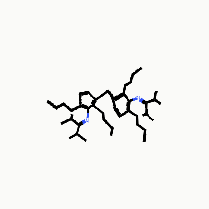 CCCCc1ccc(Cc2ccc(CCCC)c(N=C(C(C)C)C(C)C)c2CCCC)c(CCCC)c1N=C(C(C)C)C(C)C